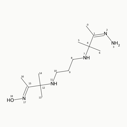 CC(=NN)C(C)(C)NCCCNC(C)(C)C(C)=NO